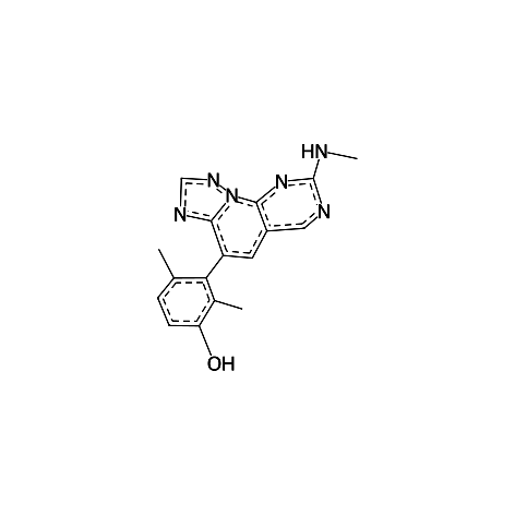 CNc1ncc2cc(-c3c(C)ccc(O)c3C)c3ncnn3c2n1